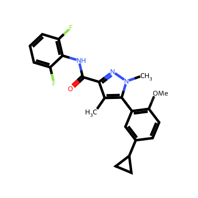 COc1ccc(C2CC2)cc1-c1c(C)c(C(=O)Nc2c(F)cccc2F)nn1C